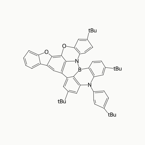 CC(C)(C)c1ccc(N2c3cc(C(C)(C)C)ccc3B3c4c(cc(C(C)(C)C)cc42)-c2cc4c(oc5ccccc54)c4c2N3c2ccc(C(C)(C)C)cc2O4)cc1